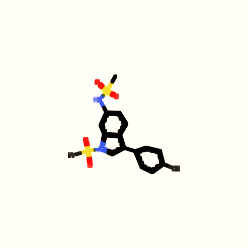 CC(C)S(=O)(=O)n1cc(-c2ccc(C#N)cc2)c2ccc(NS(C)(=O)=O)cc21